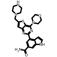 NC(=O)c1cc(-c2nc(N3CCOCC3)c3sc(CN4CCNCC4)cc3n2)c2cc[nH]c2c1